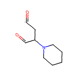 O=[C]CC([C]=O)N1CCCCC1